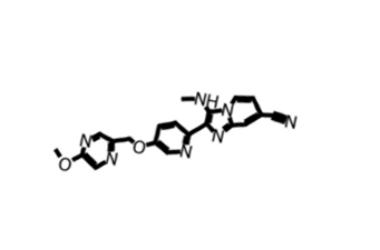 CNc1c(-c2ccc(OCc3cnc(OC)cn3)cn2)nc2cc(C#N)ccn12